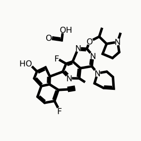 C#Cc1c(F)ccc2cc(O)cc(-c3nc(C)c4c(N5CC=CCC5)nc(OC(C)C5CCCN5C)nc4c3F)c12.O=CO